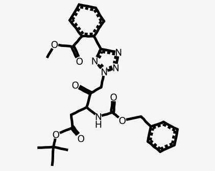 COC(=O)c1ccccc1-c1nnn(CC(=O)C(CC(=O)OC(C)(C)C)NC(=O)OCc2ccccc2)n1